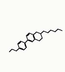 CCCCCCC1CCc2cc(-c3ccc(CCC)cc3)ccc2C1